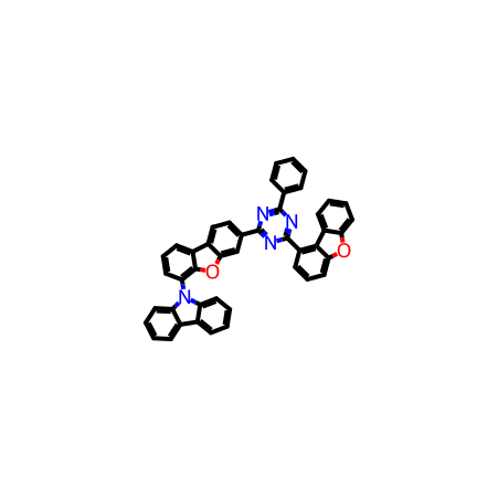 c1ccc(-c2nc(-c3ccc4c(c3)oc3c(-n5c6ccccc6c6ccccc65)cccc34)nc(-c3cccc4oc5ccccc5c34)n2)cc1